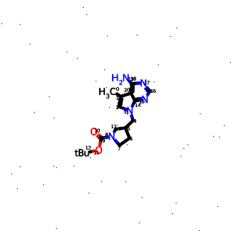 Cc1cn(CC2CCN(C(=O)OC(C)(C)C)C2)c2ncnc(N)c12